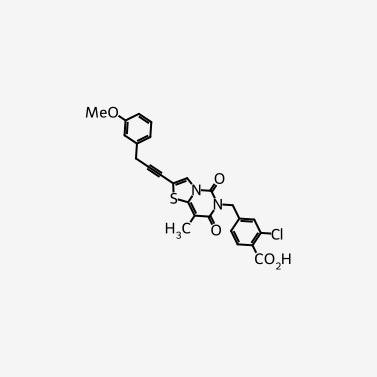 COc1cccc(CC#Cc2cn3c(=O)n(Cc4ccc(C(=O)O)c(Cl)c4)c(=O)c(C)c3s2)c1